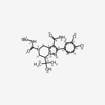 CC(C)(C)NC(=O)N1Cc2c(C(N)=O)c(-c3ccc(Cl)c(Cl)c3)nn2C(C(C)(C)O)C1